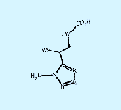 Cn1nnnc1C(S)CNC(=O)O